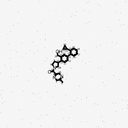 Cc1cnc(C(=O)N2CCC(c3ccc(-c4ccccc4C4CC4)cc3CO)C2)cn1